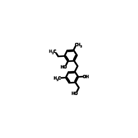 CCc1cc(C)cc(Cc2cc(C)cc(CO)c2O)c1O